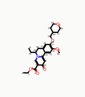 CCOC(=O)c1cn2c(cc1=O)-c1cc(OC)c(OCC3CCOCC3)cc1CC2CC